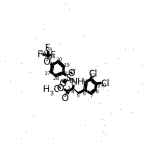 COC(=O)[C@H](Cc1ccc(Cl)c(Cl)c1)NS(=O)(=O)c1ccc(OC(F)(F)F)cc1